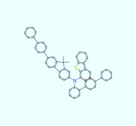 CC1(C)c2cc(-c3ccc(-c4ccccc4)cc3)ccc2-c2ccc(N(c3ccccc3-c3ccc(-c4ccccc4)cc3)c3cccc4c3sc3ccccc34)cc21